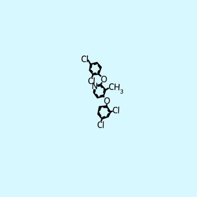 Cc1c(Oc2ccc(Cl)cc2Cl)ccnc1Oc1ccc(Cl)cc1Cl